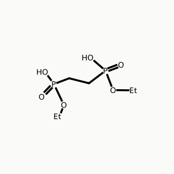 CCOP(=O)(O)CCP(=O)(O)OCC